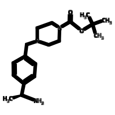 C[C@H](N)c1ccc(CN2CCN(C(=O)OC(C)(C)C)CC2)cc1